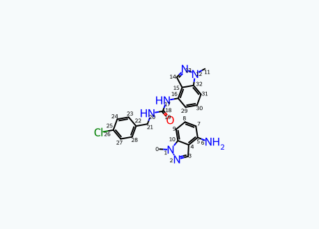 Cn1ncc2c(N)cccc21.Cn1ncc2c(NC(=O)NCc3ccc(Cl)cc3)cccc21